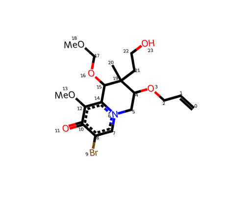 C=CCOC1Cn2cc(Br)c(=O)c(OC)c2C(OCOC)C1(C)CCO